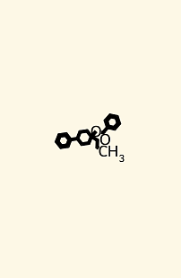 CCCC1(OC(=O)c2ccccc2)CCC(c2ccccc2)CC1